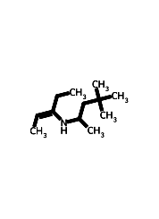 CC=C(CC)NC(C)CC(C)(C)C